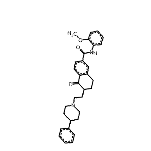 COc1ccccc1NC(=O)c1ccc2c(c1)CCC(CCN1CCC(c3ccccc3)CC1)C2=O